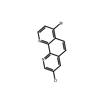 Clc1cnc2c(ccc3c(Br)ccnc32)c1